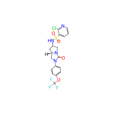 O=C1N(c2ccc(OC(F)(F)F)cc2)C[C@@H]2C[C@@H](NS(=O)(=O)c3cccnc3Cl)CN12